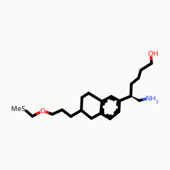 CSCOCCCC1CCc2cc([C@H](CN)CCCCO)ccc2C1